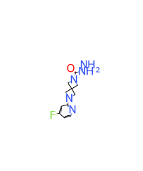 NNC(=O)N1CC2(C1)CN(c1cc(F)ccn1)C2